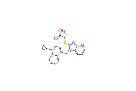 O=C(O)CSc1nc2ncccc2n1Cc1ccc(C2CC2)c2ccccc12